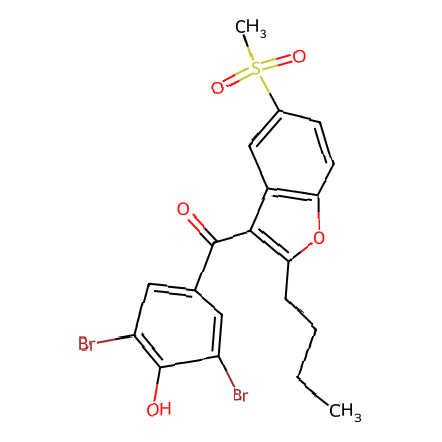 CCCCc1oc2ccc(S(C)(=O)=O)cc2c1C(=O)c1cc(Br)c(O)c(Br)c1